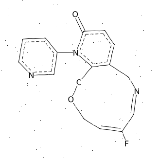 O=c1ccc2c(n1-c1cccnc1)COC/C=C(F)\C=N/C2